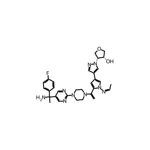 C=C(c1cc(-c2cnn([C@@H]3COC[C@@H]3O)c2)cn1/N=C\C)N1CCN(c2ncc(C(C)(N)c3ccc(F)cc3)cn2)CC1